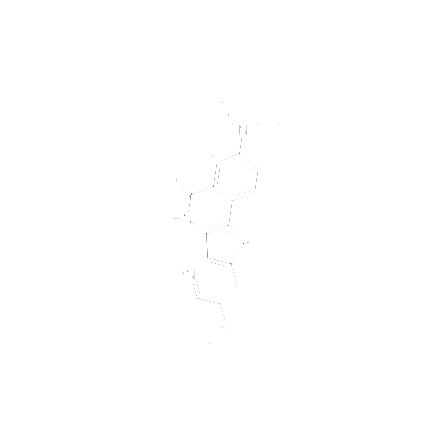 COc1cnc2c(c1)Cc1c-2[nH]c(=O)c2cc([N+](=O)[O-])ccc12